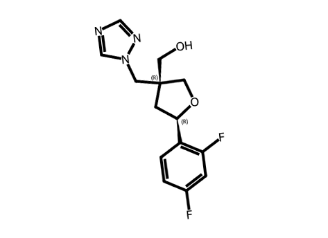 OC[C@@]1(Cn2cncn2)CO[C@@H](c2ccc(F)cc2F)C1